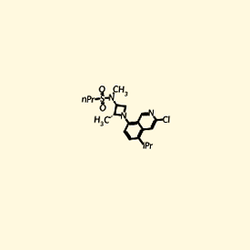 CCCS(=O)(=O)N(C)[C@H]1CN(c2ccc(C(C)C)c3cc(Cl)ncc23)[C@@H]1C